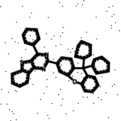 c1ccc(-c2nc(-c3ccc4c(c3)Oc3ccccc3C4(c3ccccc3)c3ccccc3)nc3c2sc2ccccc23)cc1